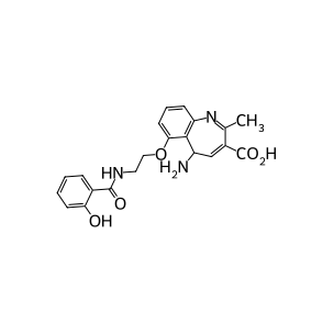 CC1=Nc2cccc(OCCNC(=O)c3ccccc3O)c2C(N)C=C1C(=O)O